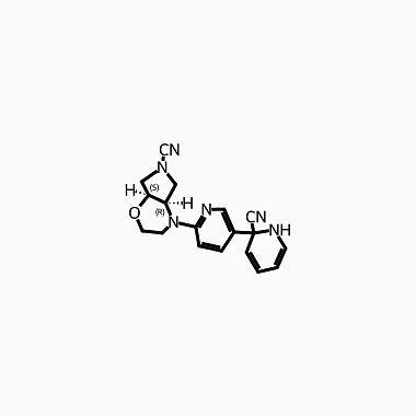 N#CN1C[C@@H]2OCCN(c3ccc(C4(C#N)C=CC=CN4)cn3)[C@@H]2C1